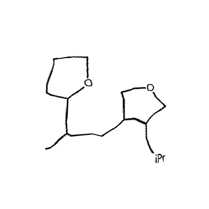 CC(C)C1COCC1CC(C)C1CCCO1